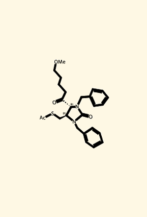 COCCCCC(=O)[C@H]1[C@H](CSC(C)=O)N(Cc2ccccc2)C(=O)N1Cc1ccccc1